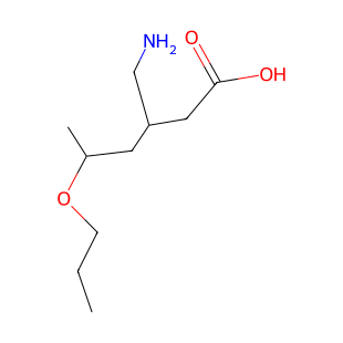 CCCOC(C)CC(CN)CC(=O)O